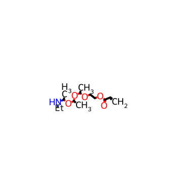 C=CC(=O)OCCOC(C)OC(C)OC(C)NCC